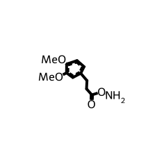 COc1ccc(CCC(=O)ON)cc1OC